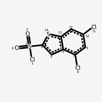 O=S(=O)(Cl)c1cc2c(Cl)cc(Cl)cc2s1